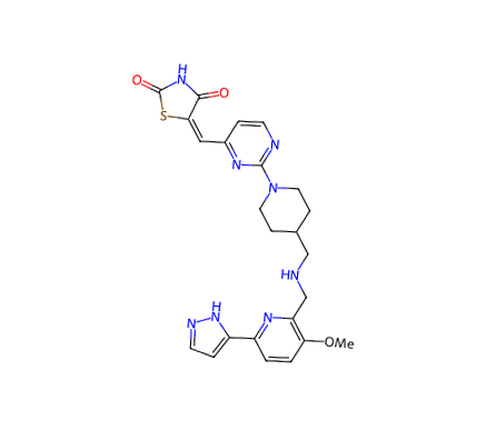 COc1ccc(-c2ccn[nH]2)nc1CNCC1CCN(c2nccc(C=C3SC(=O)NC3=O)n2)CC1